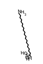 CC(CCCCCCCCCCCCCCCCCCCCN)[SiH](O)O